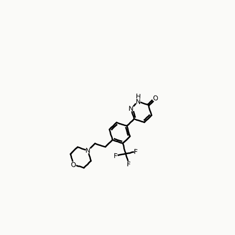 O=c1ccc(-c2ccc(CCN3CCOCC3)c(C(F)(F)F)c2)n[nH]1